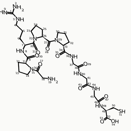 N=C(N)NCCC[C@H](NC(=O)[C@@H]1CCCN1C(=O)CN)C(=O)N1CCC[C@H]1C(=O)N1CCC[C@H]1C(=O)NCC(=O)NCC(=O)NCC(=O)N[C@@H](CS)C(=O)O